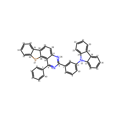 c1ccc(-c2nc(-c3cccc(-n4c5ccccc5c5ccccc54)c3)nc3ccc4c5ccccc5sc4c23)cc1